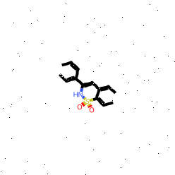 C/C=C\C(=C/C)C1=CC(=C/C)/C(=C\C)S(=O)(=O)N1